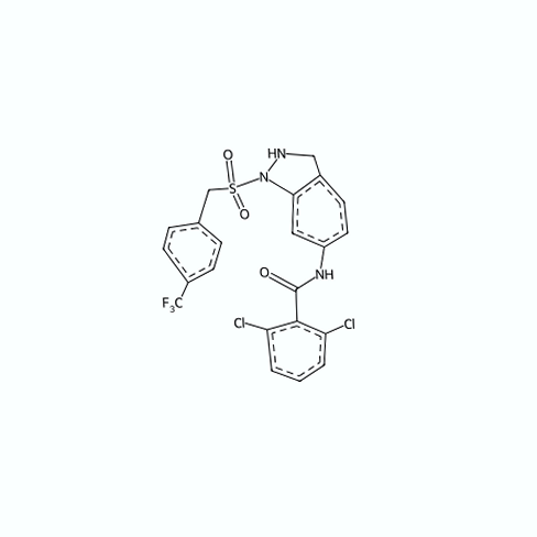 O=C(Nc1ccc2c(c1)N(S(=O)(=O)Cc1ccc(C(F)(F)F)cc1)NC2)c1c(Cl)cccc1Cl